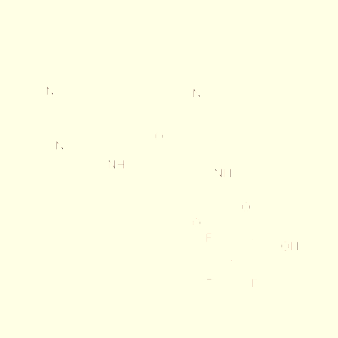 O=C(O)C(F)(F)F.O=CN[C@H]1CCN(Cc2ccc3ncnc(Nc4ccccc4)c3c2)C1=O